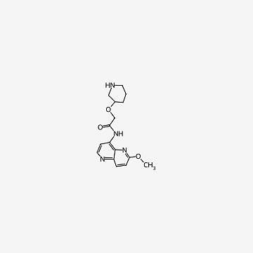 COc1ccc2nccc(NC(=O)COC3CCCNC3)c2n1